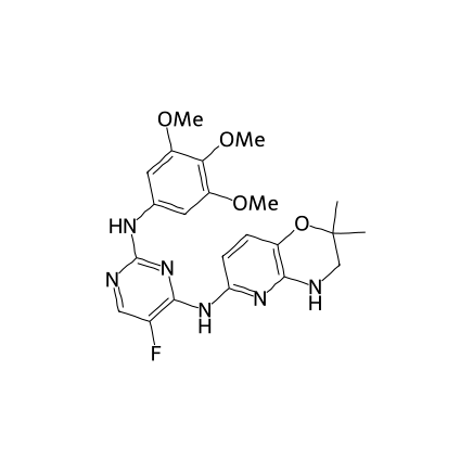 COc1cc(Nc2ncc(F)c(Nc3ccc4c(n3)NCC(C)(C)O4)n2)cc(OC)c1OC